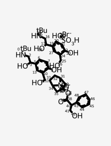 CC(C)(C)NCC(O)c1ccc(O)c(CO)c1.CC(C)(C)NCC(O)c1ccc(O)c(CO)c1.CC(C)[N+]1(C)C2CCC1CC(OC(=O)C(CO)c1ccccc1)C2.O=S(=O)(O)O.[Br-]